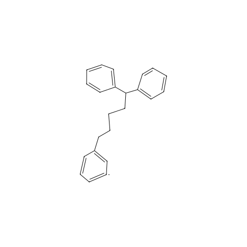 [c]1cccc(CCCCC(c2ccccc2)c2ccccc2)c1